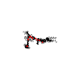 CO[C@@H]1[C@@H](OC(N)=O)[C@@H](O)[C@H](Oc2ccc3c(O)c(NC(=O)c4ccc(OCc5ccc(NC(=O)[C@H](CCCNC(N)=O)NC(=O)[C@@H](NC(=O)CCCCCN6C(=O)C=CC6=O)C(C)C)cc5)c(CC=C(C)C)c4)c(=O)oc3c2C)OC1(C)C